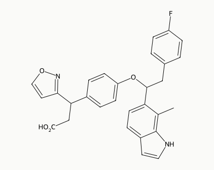 Cc1c(C(Cc2ccc(F)cc2)Oc2ccc(C(CC(=O)O)c3ccon3)cc2)ccc2cc[nH]c12